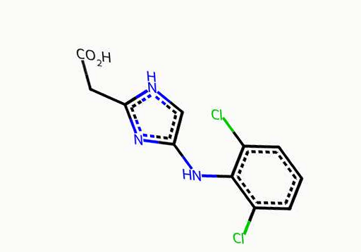 O=C(O)Cc1nc(Nc2c(Cl)cccc2Cl)c[nH]1